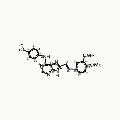 CCOc1ccc(Nc2ncnc3[nH]c(C=Cc4ccc(OC)c(OC)c4)nc23)cc1